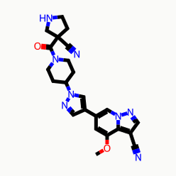 COc1cc(-c2cnn(C3CCN(C(=O)C4(C#N)CCNC4)CC3)c2)cn2ncc(C#N)c12